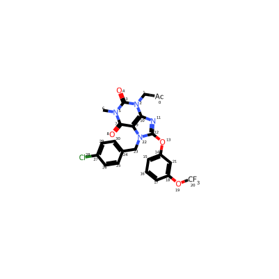 CC(=O)Cn1c(=O)n(C)c(=O)c2c1nc(Oc1cccc(OC(F)(F)F)c1)n2Cc1ccc(Cl)cc1